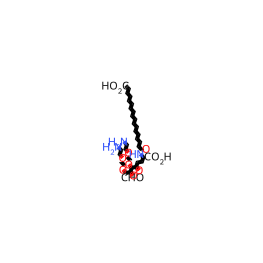 NCCOCCO[C](C=O)C(=O)C(OCCOCCN)C(=O)CC[C@H](NC(=O)CCCCCCCCCCCCCCCCC(=O)O)C(=O)O